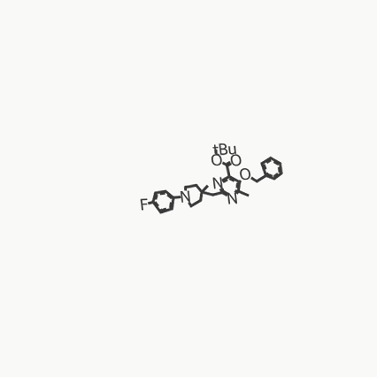 Cc1nc(CC2(C)CCN(c3ccc(F)cc3)CC2)nc(C(=O)OC(C)(C)C)c1OCc1ccccc1